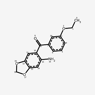 CCOc1cccc(C(=O)c2cc3c(cc2N)OCO3)c1